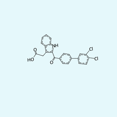 O=C(O)Cc1c(C(=O)c2ccc(-c3ccc(Cl)c(Cl)c3)cc2)[nH]c2ccccc12